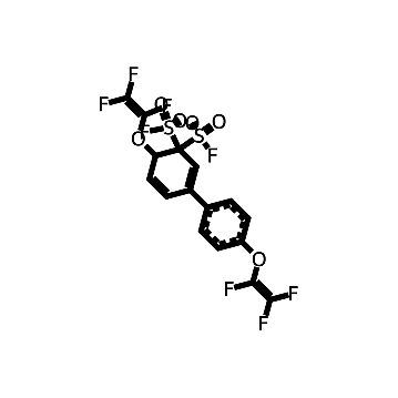 O=S(=O)(F)C1(S(=O)(=O)F)C=C(c2ccc(OC(F)=C(F)F)cc2)C=CC1OC(F)=C(F)F